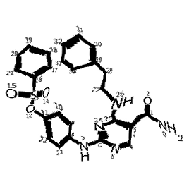 NC(=O)c1cnc(Nc2ccc(OS(=O)(=O)c3ccccc3)cc2)nc1NCCc1ccccc1